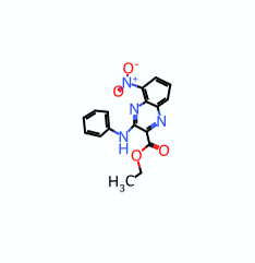 CCOC(=O)c1nc2cccc([N+](=O)[O-])c2nc1Nc1ccccc1